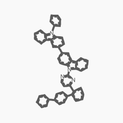 c1ccc(-c2ccc(-c3ccccc3-c3ccnc(-n4c5ccccc5c5cc(-c6ccc7c(c6)c6ccccc6n7-c6ccccc6)ccc54)n3)cc2)cc1